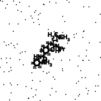 CC(C)NC(=O)N(CCN(C)C)Cc1ccc(C(=O)Nc2ccccc2N)nc1